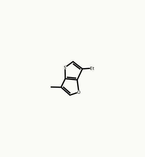 CCc1csc2c(C)coc12